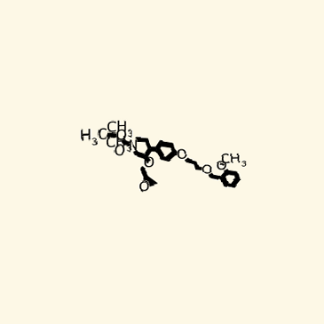 COc1ccccc1COCCCOc1ccc(C2CCN(C(=O)OC(C)(C)C)CC2OCC2CO2)cc1